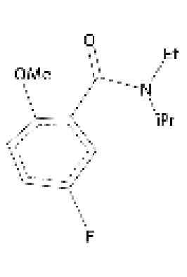 CCN(C(=O)c1cc(F)ccc1OC)C(C)C